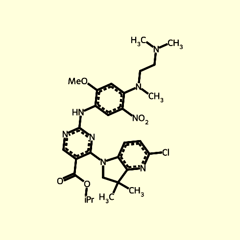 COc1cc(N(C)CCN(C)C)c([N+](=O)[O-])cc1Nc1ncc(C(=O)OC(C)C)c(N2CC(C)(C)c3nc(Cl)ccc32)n1